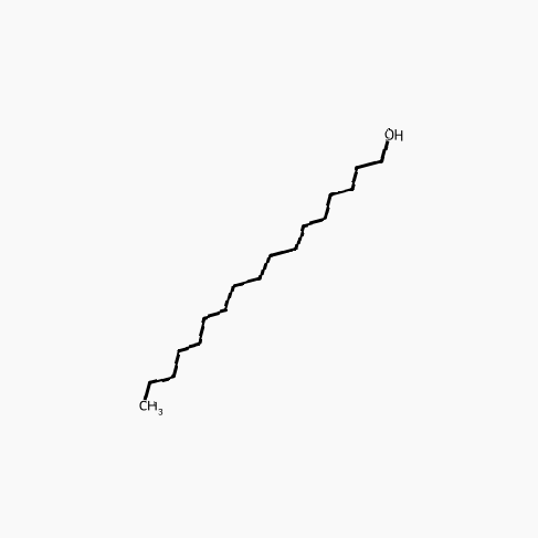 CCCCCCCCCCCCCCCCCO